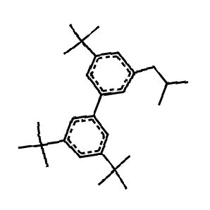 CC(C)Cc1cc(-c2cc(C(C)(C)C)cc(C(C)(C)C)c2)cc(C(C)(C)C)c1